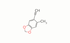 C#Cc1cc2c(cc1C)OCO2